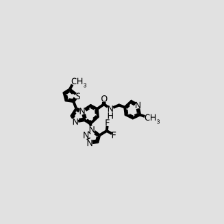 Cc1ccc(CNC(=O)c2cc(-n3nncc3C(F)F)c3ncc(-c4ccc(C)s4)n3c2)cn1